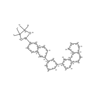 CC1(C)OB(c2ccc3nc(-c4cccc(-c5ccc6ccc7cccnc7c6n5)c4)ccc3c2)OC1(C)C